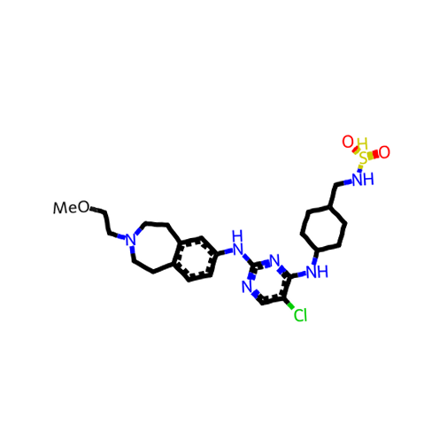 COCCN1CCc2ccc(Nc3ncc(Cl)c(NC4CCC(CN[SH](=O)=O)CC4)n3)cc2CC1